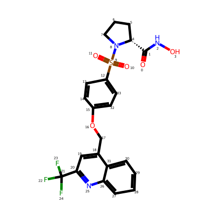 O=C(NO)[C@H]1CCCN1S(=O)(=O)c1ccc(OCc2cc(C(F)(F)F)nc3ccccc23)cc1